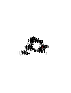 CC(=O)NC(CCCNC(=N)N)C(=O)NC1CC(=O)NCCCCC(C(N)=O)NC(=O)[C@H](Cc2c[nH]c3ccccc23)NC(=O)CNC(=O)C(Cc2ccccc2)NC(=O)[C@H](CCC(N)=O)NC1=O